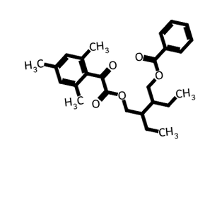 CCC(COC(=O)C(=O)c1c(C)cc(C)cc1C)C(CC)COC(=O)c1ccccc1